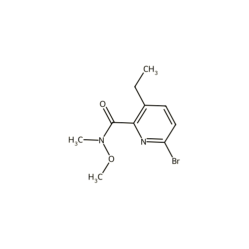 CCc1ccc(Br)nc1C(=O)N(C)OC